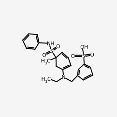 CCN(Cc1cccc(S(=O)(=O)O)c1)C1=CC=CC(C)(S(=O)(=O)Nc2ccccc2)C1